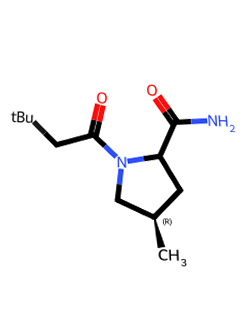 C[C@@H]1CC(C(N)=O)N(C(=O)CC(C)(C)C)C1